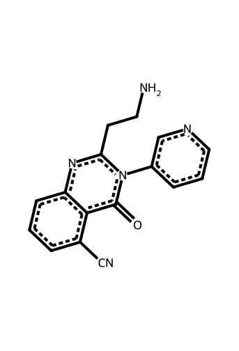 N#Cc1cccc2nc(CCN)n(-c3cccnc3)c(=O)c12